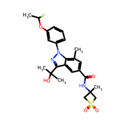 Cc1cc(C(=O)NC2(C)CS(=O)(=O)C2)cc2c(C(C)(C)O)nn(-c3cccc(OC(C)F)c3)c12